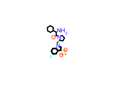 CS(=O)(=O)c1cn(C[C@@H]2CCCN2C(=O)[C@@H](N)C2CCCCC2)c2ccc(F)cc12